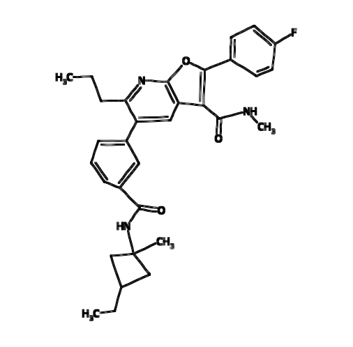 CCCc1nc2oc(-c3ccc(F)cc3)c(C(=O)NC)c2cc1-c1cccc(C(=O)NC2(C)CC(CC)C2)c1